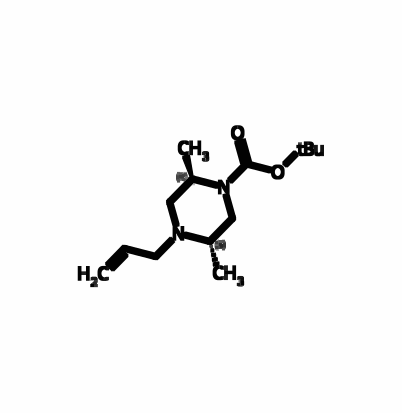 C=CCN1C[C@@H](C)N(C(=O)OC(C)(C)C)C[C@@H]1C